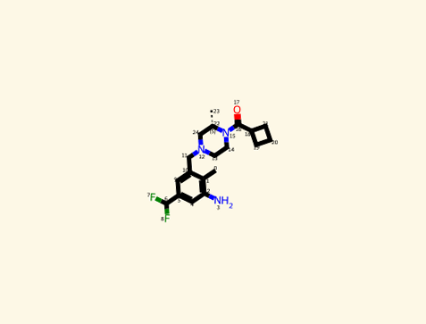 Cc1c(N)cc(C(F)F)cc1CN1CCN(C(=O)C2CCC2)[C@@H](C)C1